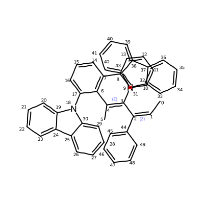 C/C=C(\C(=C(/C)c1c(-c2ccccc2)cccc1-n1c2ccccc2c2ccccc21)n1c2ccccc2c2ccccc21)c1ccccc1